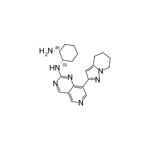 N[C@@H]1CCCC[C@@H]1Nc1ncc2cncc(-c3cc4n(n3)CCCC4)c2n1